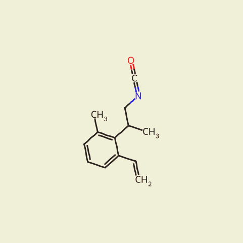 C=Cc1cccc(C)c1C(C)CN=C=O